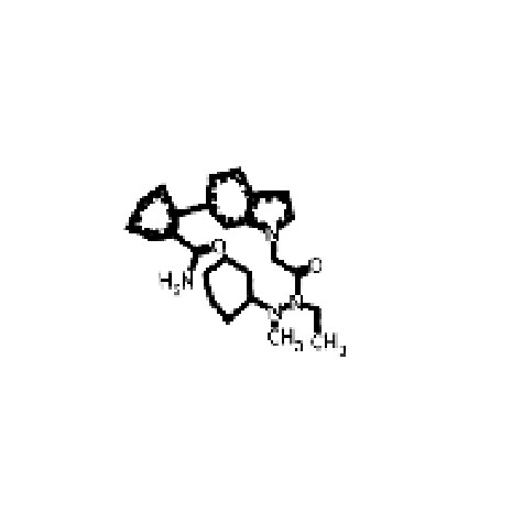 CCN(C(=O)Cn1ccc2ccc(-c3ccccc3C(N)=O)cc21)N(C)C1CCCCC1